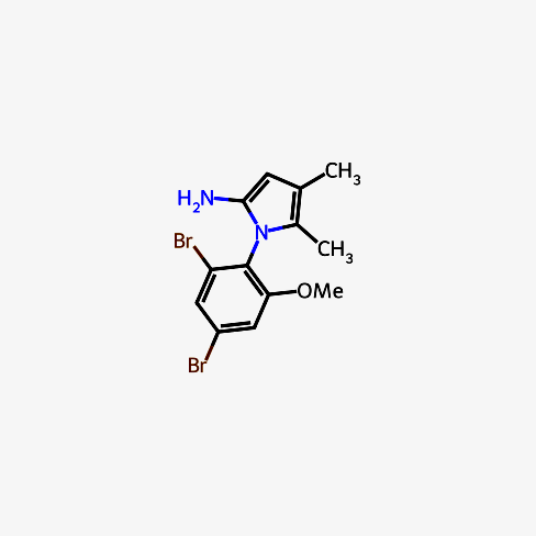 COc1cc(Br)cc(Br)c1-n1c(N)cc(C)c1C